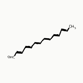 C/C=C/C=C/C=C/C=C/C=C/C=C/C=O